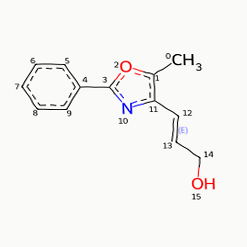 Cc1oc(-c2ccccc2)nc1/C=C/CO